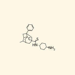 CC1C2CC3(C(=S)N[C@H]4CC[C@H](N)CC4)CC4(c5ccccc5)CC1C4(C2)C3